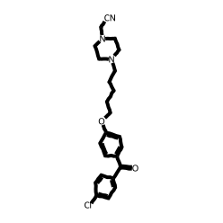 N#CCN1CCN(CCCCCOc2ccc(C(=O)c3ccc(Cl)cc3)cc2)CC1